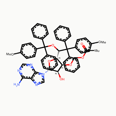 COc1ccc(C(OC([C@H]2O[C@@H](n3cnc4c(N)ncnc43)[C@H](O)[C@@H]2OCOC(=O)C(C)(C)C)C(c2ccccc2)(c2ccccc2)c2ccc(OC)cc2)(c2ccccc2)c2ccccc2)cc1